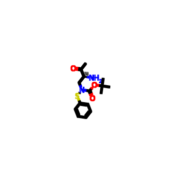 CC(=O)[C@@H](N)CN(Sc1ccccc1)C(=O)OC(C)(C)C